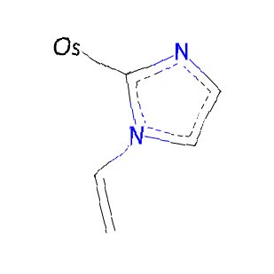 C=Cn1ccn[c]1[Os]